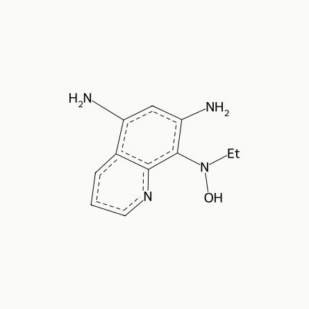 CCN(O)c1c(N)cc(N)c2cccnc12